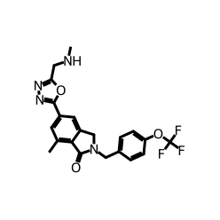 CNCc1nnc(-c2cc(C)c3c(c2)CN(Cc2ccc(OC(F)(F)F)cc2)C3=O)o1